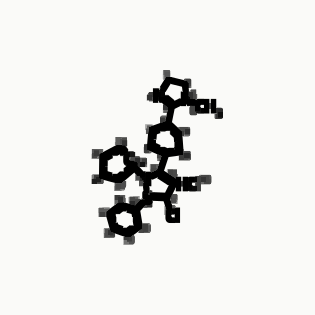 CN1CCN=C1c1ccc(C2=CC(Cl)=S(c3ccccc3)N2c2ccccc2)cc1.Cl